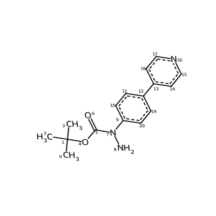 CC(C)(C)OC(=O)N(N)c1ccc(-c2ccncc2)cc1